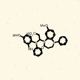 COc1ccc(N(c2ccccc2)C(CC(=O)O)N2C(=O)CCN(c3ccccc3)c3ccc(OC)cc32)c(N)c1